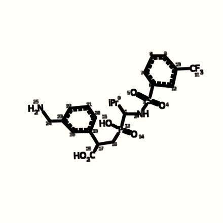 CC(C)C(NS(=O)(=O)c1cccc(C(F)(F)F)c1)P(=O)(O)CC(C(=O)O)c1cccc(CN)c1